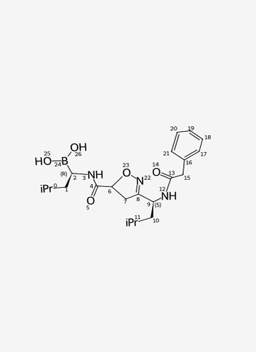 CC(C)C[C@H](NC(=O)C1CC([C@H](CC(C)C)NC(=O)Cc2ccccc2)=NO1)B(O)O